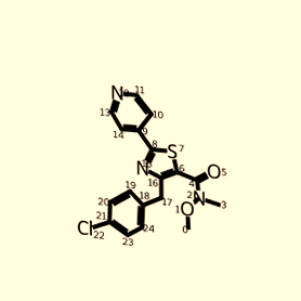 CON(C)C(=O)c1sc(-c2ccncc2)nc1Cc1ccc(Cl)cc1